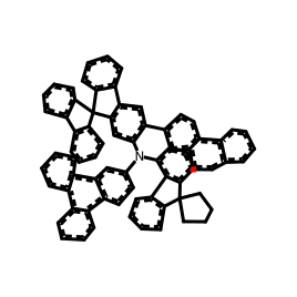 c1ccc2c(c1)-c1c(N(c3ccc4c5ccccc5c5ccccc5c4c3)c3cc4c(cc3-c3ccc5c(ccc6ccccc65)c3)-c3ccccc3C43c4ccccc4-c4ccccc43)cccc1C21CCCC1